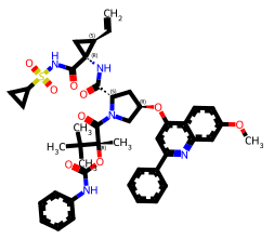 C=C[C@@H]1C[C@]1(NC(=O)[C@@H]1C[C@@H](Oc2cc(-c3ccccc3)nc3cc(OC)ccc23)CN1C(=O)[C@](C)(OC(=O)Nc1ccccc1)C(C)(C)C)C(=O)NS(=O)(=O)C1CC1